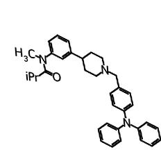 CC(C)C(=O)N(C)c1cccc(C2CCN(Cc3ccc(N(c4ccccc4)c4ccccc4)cc3)CC2)c1